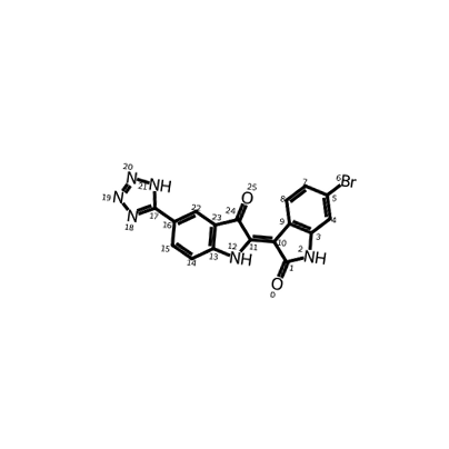 O=C1Nc2cc(Br)ccc2/C1=C1/Nc2ccc(-c3nnn[nH]3)cc2C1=O